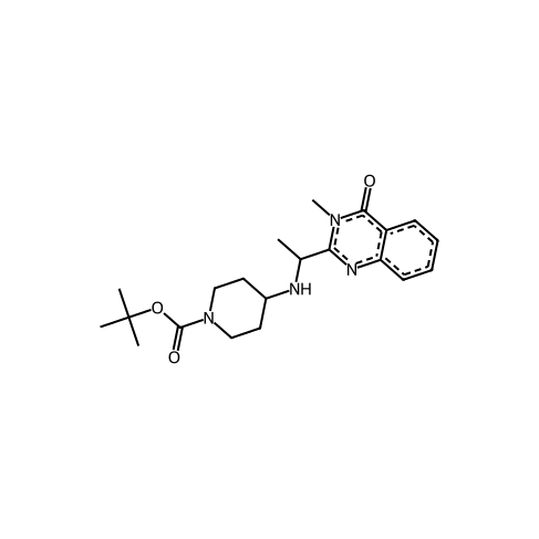 CC(NC1CCN(C(=O)OC(C)(C)C)CC1)c1nc2ccccc2c(=O)n1C